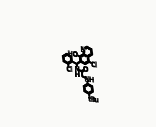 CC(C)(C)c1ccc(NCC(=O)NC(c2ccccc2Cl)c2cc(Cl)c3cccnc3c2O)cc1